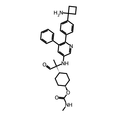 CNC(=O)O[C@H]1CC[C@H](C(C)(C=O)Nc2cnc(-c3ccc(C4(N)CCC4)cc3)c(-c3ccccc3)c2)CC1